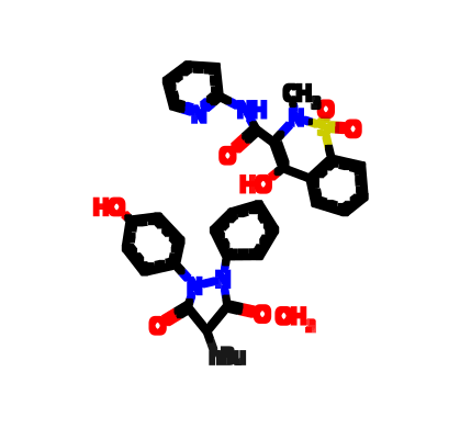 CCCCC1C(=O)N(c2ccccc2)N(c2ccc(O)cc2)C1=O.CN1C(C(=O)Nc2ccccn2)=C(O)c2ccccc2S1(=O)=O.O